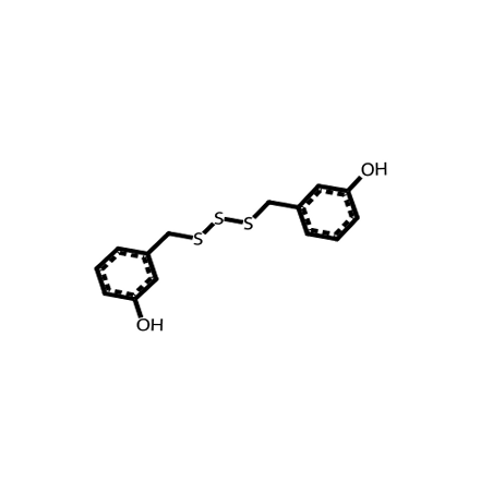 Oc1cccc(CSSSCc2cccc(O)c2)c1